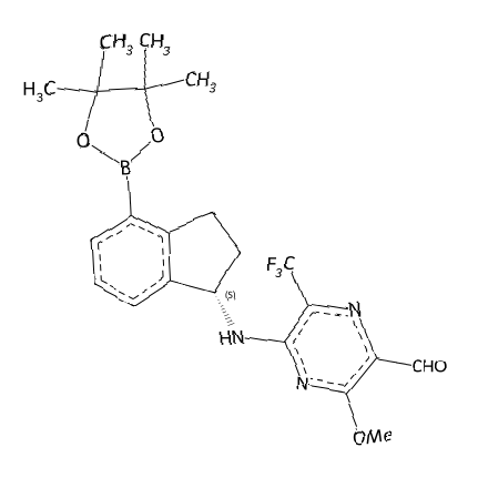 COc1nc(N[C@H]2CCc3c(B4OC(C)(C)C(C)(C)O4)cccc32)c(C(F)(F)F)nc1C=O